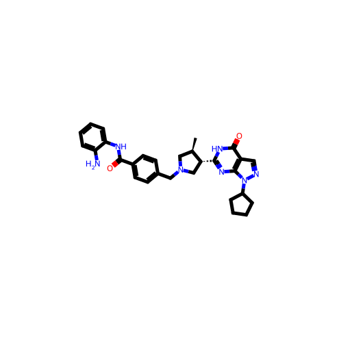 C[C@@H]1CN(Cc2ccc(C(=O)Nc3ccccc3N)cc2)C[C@H]1c1nc2c(cnn2C2CCCC2)c(=O)[nH]1